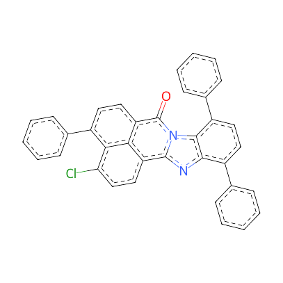 O=c1c2ccc(-c3ccccc3)c3c(Cl)ccc(c32)c2nc3c(-c4ccccc4)ccc(-c4ccccc4)c3n12